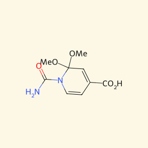 COC1(OC)C=C(C(=O)O)C=CN1C(N)=O